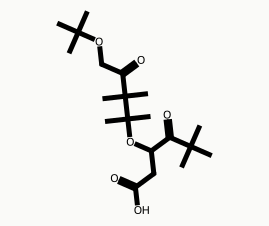 CC(C)(C)OCC(=O)C(C)(C)C(C)(C)OC(CC(=O)O)C(=O)C(C)(C)C